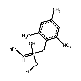 CCC[SH]=P(O)(OCC)Oc1c(C)cc(C)cc1[N+](=O)[O-]